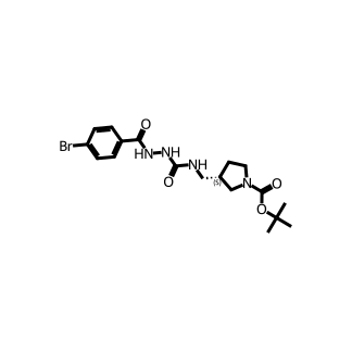 CC(C)(C)OC(=O)N1CC[C@@H](CNC(=O)NNC(=O)c2ccc(Br)cc2)C1